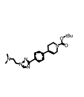 CN(C)CCn1cnc(-c2ccc(C3=CCN(C(=O)OC(C)(C)C)CC3)cc2)n1